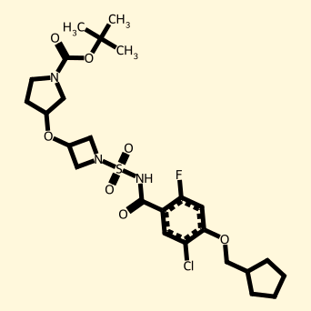 CC(C)(C)OC(=O)N1CCC(OC2CN(S(=O)(=O)NC(=O)c3cc(Cl)c(OCC4CCCC4)cc3F)C2)C1